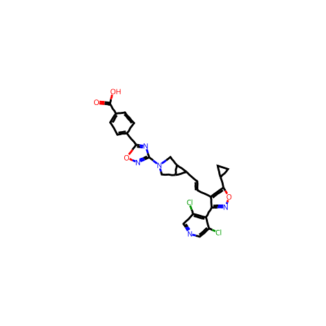 O=C(O)c1ccc(-c2nc(N3CC4C(C=Cc5c(-c6c(Cl)cncc6Cl)noc5C5CC5)C4C3)no2)cc1